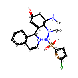 CCCNC1=C(N(C=O)NS(=O)(=O)c2ccc(Cl)s2)C(C2NC=Cc3ccccc32)=CC(=O)C1